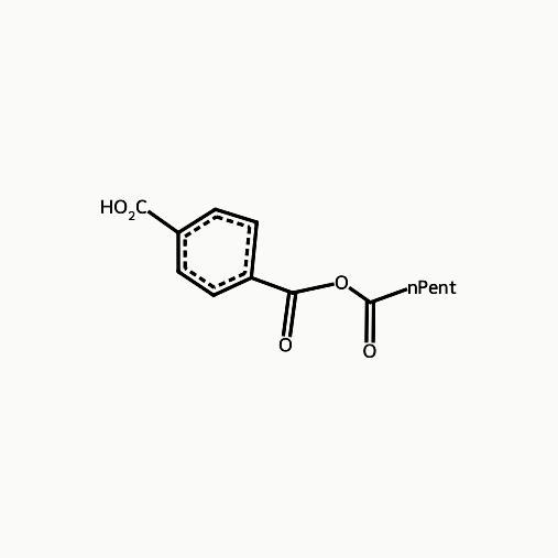 CCCCCC(=O)OC(=O)c1ccc(C(=O)O)cc1